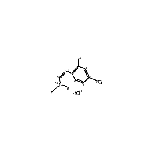 Cc1cc(Cl)ccc1/N=C\N(C)C.Cl